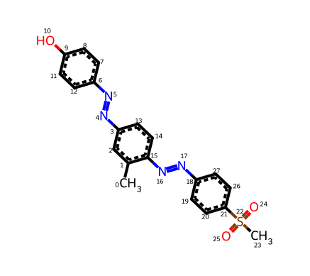 Cc1cc(/N=N/c2ccc(O)cc2)ccc1/N=N/c1ccc(S(C)(=O)=O)cc1